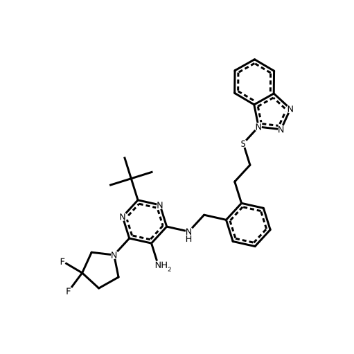 CC(C)(C)c1nc(NCc2ccccc2CCSn2nnc3ccccc32)c(N)c(N2CCC(F)(F)C2)n1